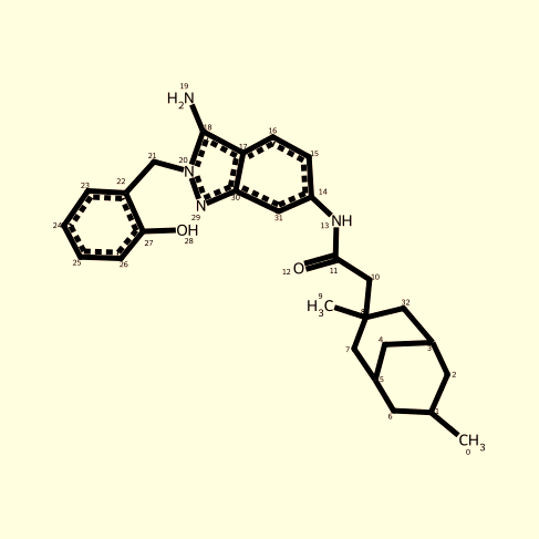 CC1CC2CC(C1)CC(C)(CC(=O)Nc1ccc3c(N)n(Cc4ccccc4O)nc3c1)C2